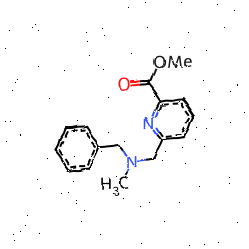 COC(=O)c1cccc(CN(C)Cc2ccccc2)n1